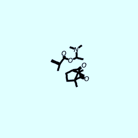 C=C(C)C(=O)OC(C)N(C)C.CC12CCC(C(=O)C1=O)C2(C)C